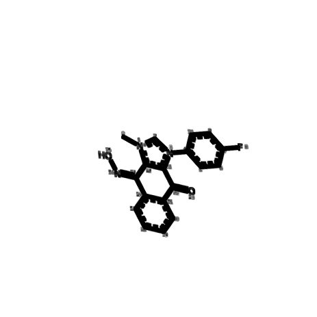 C[n+]1cn(-c2ccc(F)cc2)c2c1C(=NO)c1ccccc1C2=O